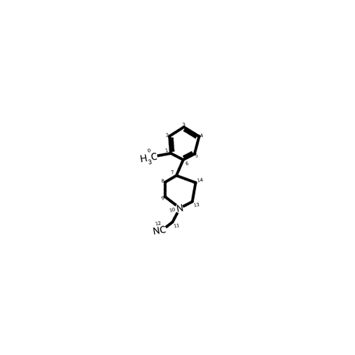 Cc1ccccc1C1CCN(CC#N)CC1